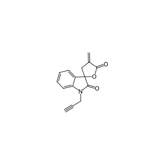 C#CCN1C(=O)C2(CC(=C)C(=O)O2)c2ccccc21